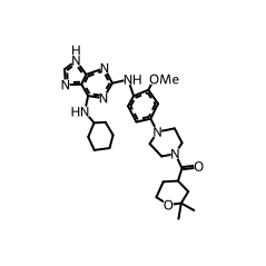 COc1cc(N2CCN(C(=O)C3CCOC(C)(C)C3)CC2)ccc1Nc1nc(NC2CCCCC2)c2nc[nH]c2n1